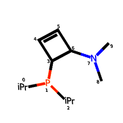 CC(C)P(C(C)C)C1C=CC1N(C)C